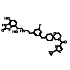 O=C(c1csc(C2CC2)n1)N1CCOC2(CCN(Cc3cc(F)cc(CCNC[C@H](O)c4ccc(O)c5[nH]c(=O)sc45)c3)CC2)C1